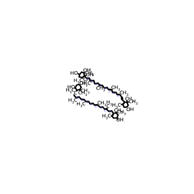 CC1=C(/C=C/C(C)=C/C=C/C(C)=C/C=C/C=C(C)/C=C/C=C(\C)C=C=C2C(C)(C)CC(O)CC2(C)O)C(C)(C)CC(O)C1.CC1=C(C#C/C(C)=C/C=C/C(C)=C/C=C/C=C(C)/C=C/C=C(C)/C=C/C2(O)C(C)(C)CC(O)CC2(C)O)C(C)(C)CC(O)C1